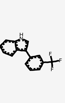 FC(F)(F)c1cccc(-c2c[nH]c3ccccc23)c1